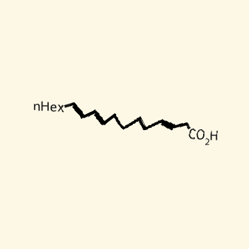 CCCCCC/C=C/C=C/CCCC/C=C/CC(=O)O